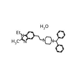 CCn1c(C)nc2cc(CCN3CCN(C(c4ccccc4)c4ccccc4)CC3)ccc21.O